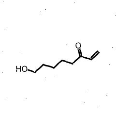 C=CC(=O)CCCCCO